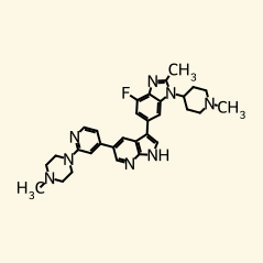 Cc1nc2c(F)cc(-c3c[nH]c4ncc(-c5ccnc(N6CCN(C)CC6)c5)cc34)cc2n1C1CCN(C)CC1